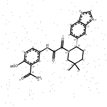 COc1ncc(NC(=O)C(=O)N2CC(C)(C)CC[C@H]2c2ccc3scnc3c2)cc1C(N)=O